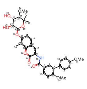 COc1ccc(-c2cc(C(=O)Nc3cc4ccc(O[C@@H]5OC(C)(C)[C@H](OC)[C@@H](O)[C@@H]5O)c(C)c4oc3=O)ccc2OC)cc1